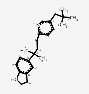 CC(C)(C)Cc1ccc(CCC(C)(C)c2ccc3c(c2)CCO3)nc1